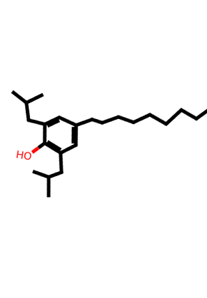 CCCCCCCCCc1cc(CC(C)C)c(O)c(CC(C)C)c1